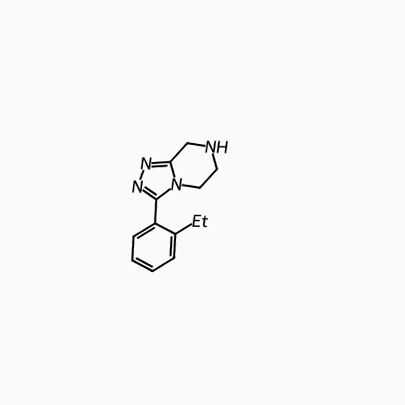 CCc1ccccc1-c1nnc2n1CCNC2